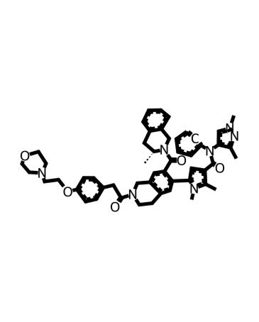 Cc1nn(C)cc1N(C(=O)c1cc(-c2cc3c(cc2C(=O)N2Cc4ccccc4C[C@H]2C)CN(C(=O)Cc2ccc(OCCN4CCOCC4)cc2)CC3)n(C)c1C)c1ccccc1